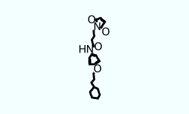 O=C(CCCN1C(=O)C=CC1=O)Nc1ccc(OCCCC2CCCCC2)cc1